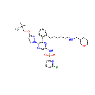 CC(C)(COc1ccn(-c2ncc(NS(=O)(=O)c3cccc(F)n3)nc2-c2ccccc2CCCCCCNCC2CCCOC2)n1)C(F)(F)F